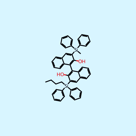 CCCC[Si](c1ccccc1)(c1ccccc1)c1cc2ccccc2c(-c2c(O)c([Si](C)(c3ccccc3)c3ccccc3)cc3ccccc23)c1O